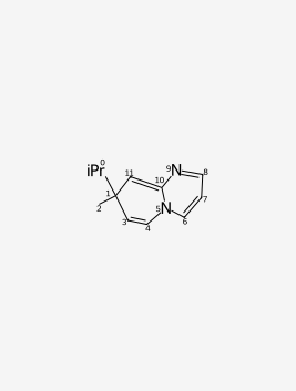 CC(C)C1(C)C=CN2C=CC=NC2=C1